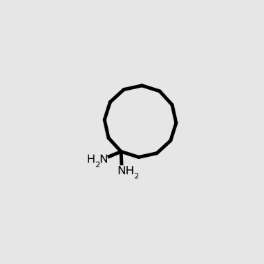 NC1(N)CCCCCCCCCCC1